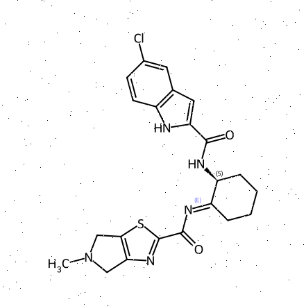 CN1Cc2nc(C(=O)/N=C3\CCCC[C@@H]3NC(=O)c3cc4cc(Cl)ccc4[nH]3)sc2C1